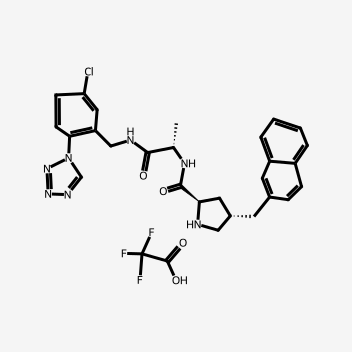 C[C@H](NC(=O)[C@H]1C[C@H](Cc2ccc3ccccc3c2)CN1)C(=O)NCc1cc(Cl)ccc1-n1cnnn1.O=C(O)C(F)(F)F